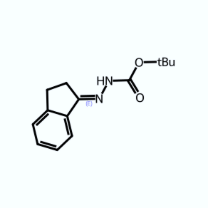 CC(C)(C)OC(=O)N/N=C1\CCc2ccccc21